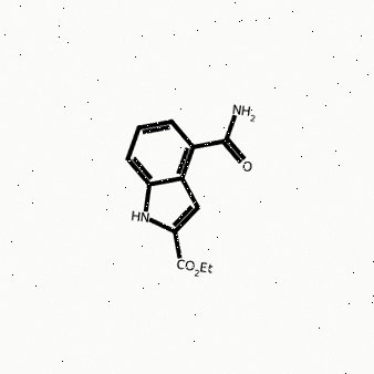 CCOC(=O)c1cc2c(C(N)=O)cccc2[nH]1